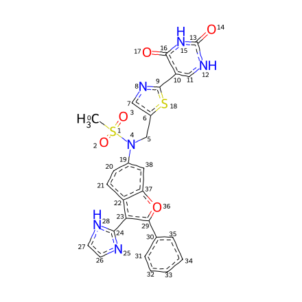 CS(=O)(=O)N(Cc1cnc(-c2c[nH]c(=O)[nH]c2=O)s1)c1ccc2c(-c3ncc[nH]3)c(-c3ccccc3)oc2c1